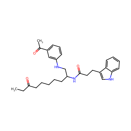 CCC(=O)CCCCCC(CNc1cccc(C(C)=O)c1)NC(=O)CCc1c[nH]c2ccccc12